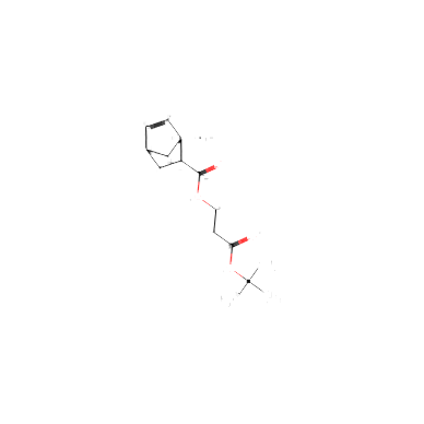 CC(C)(C)OC(=O)CCOC(=O)C1CC2C=C[C@@H]1C2